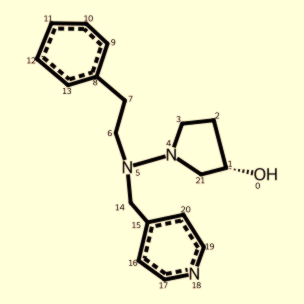 O[C@H]1CCN(N(CCc2ccccc2)Cc2ccncc2)C1